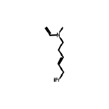 C=CN(C)CC/C=C/CC(C)C